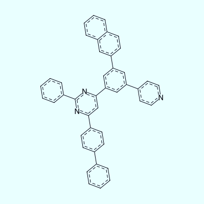 c1ccc(-c2ccc(-c3cc(-c4cc(-c5ccncc5)cc(-c5ccc6ccccc6c5)c4)nc(-c4ccccc4)n3)cc2)cc1